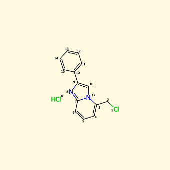 Cl.ClCc1cccc2nc(-c3ccccc3)cn12